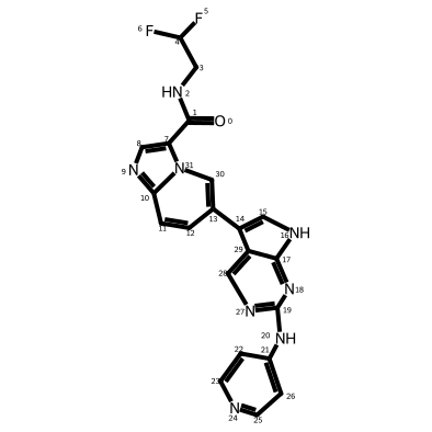 O=C(NCC(F)F)c1cnc2ccc(-c3c[nH]c4nc(Nc5ccncc5)ncc34)cn12